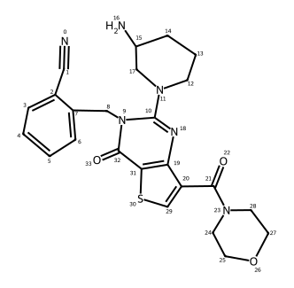 N#Cc1ccccc1Cn1c(N2CCCC(N)C2)nc2c(C(=O)N3CCOCC3)csc2c1=O